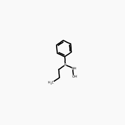 CCCN(NO)c1ccccc1